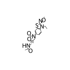 CCn1c(=NOC)sc2cc(N3C[C@H](CNC(C)=O)OC3=O)ccc21